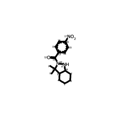 CC1(C)C2CCCCC2NN1C(=O)c1ccc([N+](=O)[O-])cc1